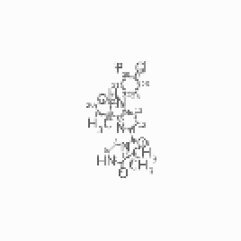 CC1(C)C(=O)NCCN1C(=O)c1ccc2c(n1)[C@@]1(C)CCO[C@H]1N2c1ccc(Cl)c(F)c1